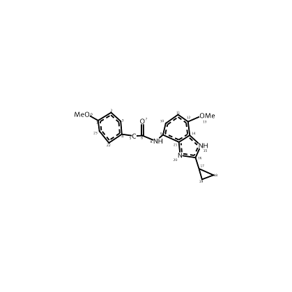 COc1ccc(CC(=O)Nc2ccc(OC)c3[nH]c(C4CC4)nc23)cc1